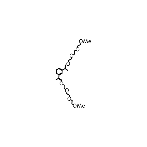 COCCOCCOCCOC=C(C)c1cccc(C(C)=COCCOCCOCCOC)c1